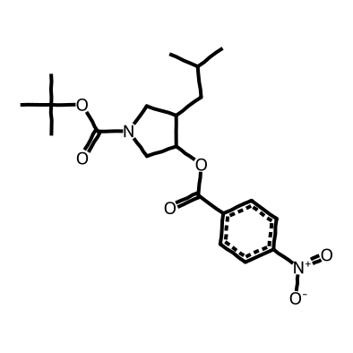 CC(C)CC1CN(C(=O)OC(C)(C)C)CC1OC(=O)c1ccc([N+](=O)[O-])cc1